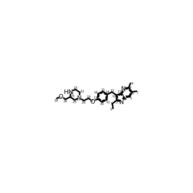 CCc1nn2cc(C)c(C)nc2c1Cc1ccc(OCCN2CCNC(COC)C2)cc1